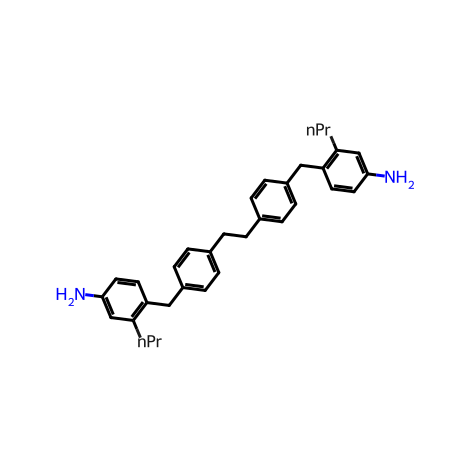 CCCc1cc(N)ccc1Cc1ccc(CCc2ccc(Cc3ccc(N)cc3CCC)cc2)cc1